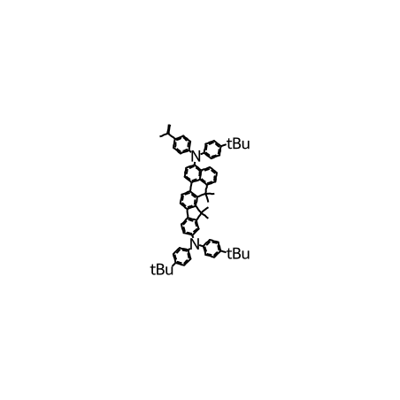 C=C(C)c1ccc(N(c2ccc(C(C)(C)C)cc2)c2ccc3c4c(cccc24)C(C)(C)c2c-3ccc3c2C(C)(C)c2cc(N(c4ccc(C(C)(C)C)cc4)c4ccc(C(C)(C)C)cc4)ccc2-3)cc1